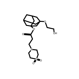 O=C(CCN1CCS(=O)(=O)CC1)OC12CC3CC(CC(OCCO)(C3)C1)C2